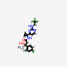 C[C@](O)(CC(=O)NC1(c2ccnc(NCC(F)(F)F)n2)CC1)c1ccc(F)cc1F